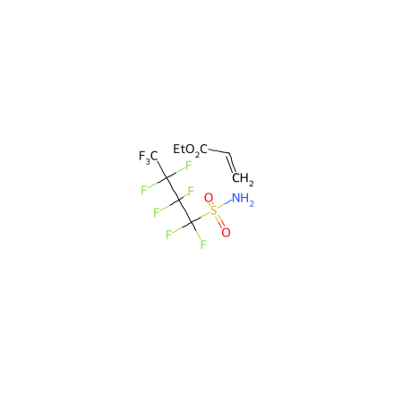 C=CC(=O)OCC.NS(=O)(=O)C(F)(F)C(F)(F)C(F)(F)C(F)(F)F